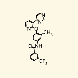 Cc1cc(NC(=O)c2cccc(C(F)(F)F)c2)ccc1Oc1ncccc1-c1ccncn1